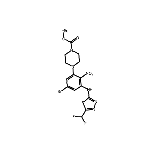 CC(C)(C)OC(=O)N1CCN(c2cc(Br)cc(Nc3nnc(C(F)F)s3)c2[N+](=O)[O-])CC1